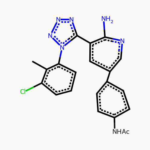 CC(=O)Nc1ccc(-c2cnc(N)c(-c3nnnn3-c3cccc(Cl)c3C)c2)cc1